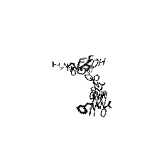 C=C(C)C(=O)NCC(=O)NC(Cc1ccccc1)C(=O)NC1CC(C)CN(CC(=O)OC[C@@H]2OC(n3ccc(N)nc3=O)C(F)(F)C2O)C1=O